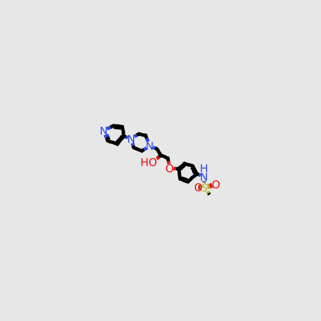 CS(=O)(=O)Nc1ccc(OCC(O)CN2CCN(c3ccncc3)CC2)cc1